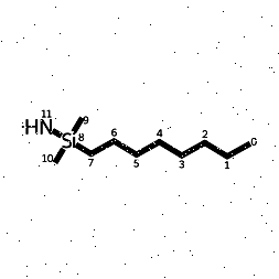 CCCCCCCC[Si](C)(C)[NH]